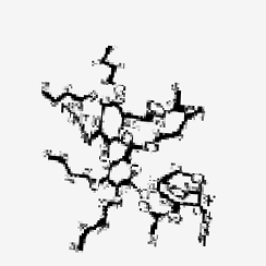 CCCCOC(=O)C1O[C@@H](O[C@@H]2C3CO[C@H](O3)C(N=[N+]=[N-])C2OC(C)=O)C(OCCCC)C(OCCCC)[C@@H]1O[C@H]1OC(COC(C)=O)[C@@H](OCCCC)C(OCCCC)C1N=[N+]=[N-]